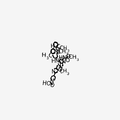 CCC[C@@H](CCO[Si](c1ccccc1)(c1ccccc1)C(C)(C)C)Nc1nc(NC(=O)OC)nc2cnn(Cc3cnc(C4CCN(C(=O)O)CC4)cc3OC)c12